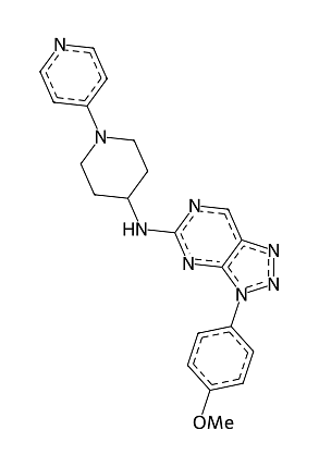 COc1ccc(-n2nnc3cnc(NC4CCN(c5ccncc5)CC4)nc32)cc1